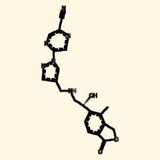 Cc1c([C@@H](O)CNCc2cnn(-c3cnc(C#N)cn3)c2)ccc2c1COC2=O